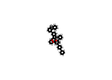 c1ccc(-c2ccc(-c3nc(-c4ccccc4)nc(-c4ccccc4-n4c5ccccc5c5cc(-c6cccc7oc8ccccc8c67)ccc54)n3)cc2)cc1